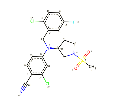 CS(=O)(=O)N1CC[C@H](N(Cc2cc(F)ccc2Cl)c2ccc(C#N)c(Cl)c2)C1